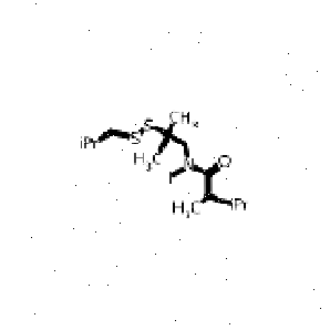 CC(C)CSSC(C)(C)CN(I)C(=O)C(C)C(C)C